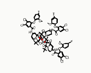 COc1cc(F)ccc1Oc1cc(Cl)c(Cl)cc1C(=O)Nc1ccn(C(OP(=O)(OC(n2ccc(NC(=O)c3cc(Cl)c(Cl)cc3Oc3ccc(F)cc3OC)cc2=O)(C(C)(C)C)C(C)(C)C)OC(n2ccc(NC(=O)c3cc(Cl)c(Cl)cc3Oc3ccc(F)cc3OC)cc2=O)(C(C)(C)C)C(C)(C)C)(C(C)(C)C)C(C)(C)C)c(=O)c1